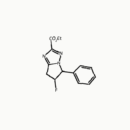 CCOC(=O)c1nc2n(n1)C(c1ccccc1)C(F)C2